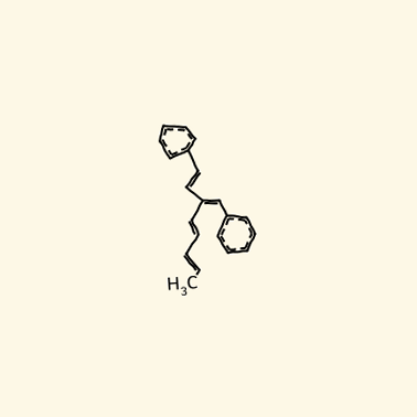 CC=CC=CC(C=Cc1ccccc1)=Cc1ccccc1